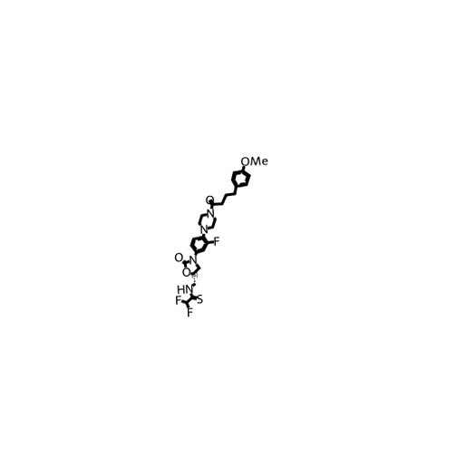 COc1ccc(CCCC(=O)N2CCN(c3ccc(N4C[C@H](CNC(=S)C(F)F)OC4=O)cc3F)CC2)cc1